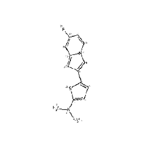 CN(C)c1ccc(-c2cn3ccc(F)cc3n2)s1